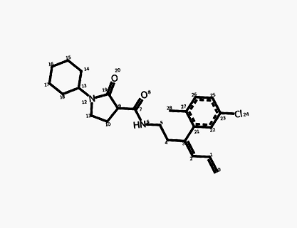 C=C/C=C(/CCNC(=O)C1CCN(C2CCCCC2)C1=O)c1cc(Cl)ccc1C